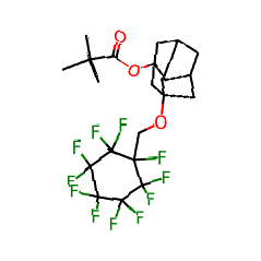 CC(C)(C)C(=O)OC12CC3CC(CC(OCC4(F)C(F)(F)C(F)(F)C(F)(F)C(F)(F)C4(F)F)(C3)C1)C2